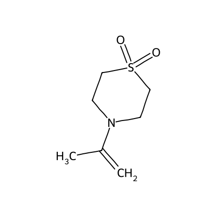 C=C(C)N1CCS(=O)(=O)CC1